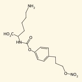 NCCCCC(NC(=O)Oc1ccc(CCCO[N+](=O)[O-])cc1)C(=O)O